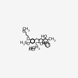 COCCCOc1cc(C[C@@H](C[C@H](N)[C@H](O)C(C)N2CCCCC2)C(C)C)ccc1OC.Cl.Cl